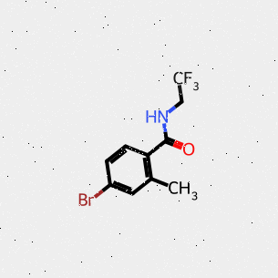 Cc1cc(Br)ccc1C(=O)NCC(F)(F)F